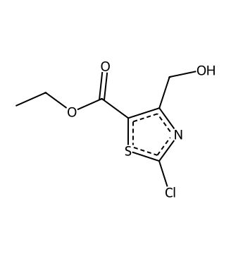 CCOC(=O)c1sc(Cl)nc1CO